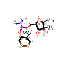 B[C@@H]1O[C@H](COP(O[C@H]2CSSC[C@@H]2OC)N(C(C)C)C(C)C)[C@@H](O)[C@@]1(C)O